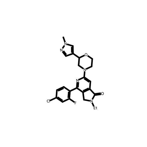 CCN1Cc2c(cc(N3CCOC(c4cnn(C)c4)C3)nc2-c2ccc(Cl)cc2F)C1=O